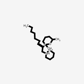 CCCCCCC=C(C[SiH]1CCCCO1)[Si]1(C)CCCC(C)O1